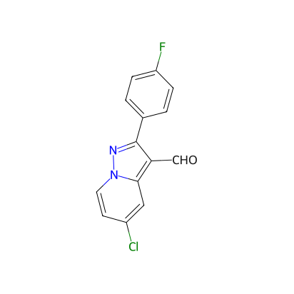 O=Cc1c(-c2ccc(F)cc2)nn2ccc(Cl)cc12